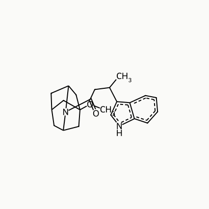 COC12CC3CC(C1)N(C(=O)CC(C)c1c[nH]c4ccccc14)C(C3)C2